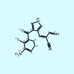 N#C/C(C=N)=C/c1c[nH]cc1C(=O)C1=C(F)C(N)=CCC1